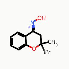 CC(C)C1(C)C/C(=N\O)c2ccccc2O1